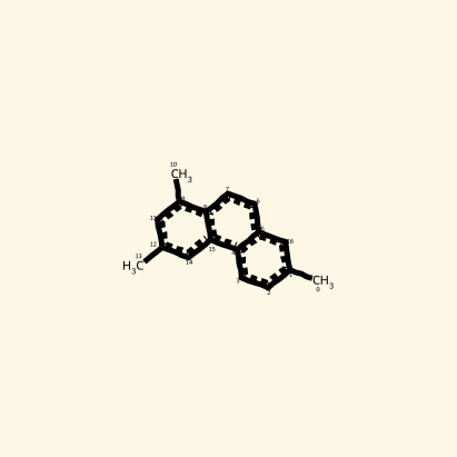 Cc1ccc2c(ccc3c(C)cc(C)cc32)c1